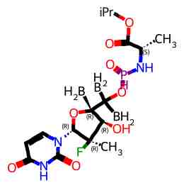 BC(B)(O[PH](=O)N[C@@H](C)C(=O)OC(C)C)[C@@]1(B)O[C@@H](n2ccc(=O)[nH]c2=O)[C@](C)(F)[C@@H]1O